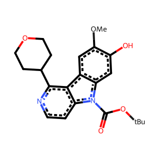 COc1cc2c3c(C4CCOCC4)nccc3n(C(=O)OC(C)(C)C)c2cc1O